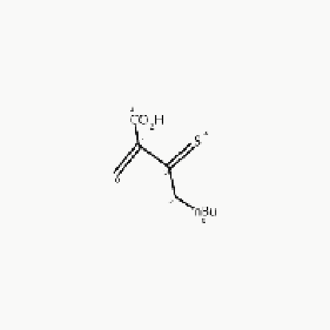 C=C(C(=O)O)C(=S)CCCCC